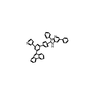 c1ccc(-c2cnc3c(c2)NC(c2ccc(-c4cc(-c5cccnc5)cc(-c5cc6ccccc6c6ccccc56)c4)cc2)N3c2ccccc2)cc1